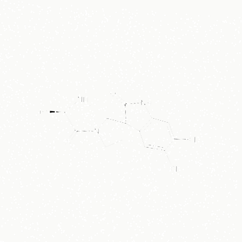 CC(C)[C@@H](N)C(=O)N1CC[C@]2(C1)C(=O)Nc1cc(Cl)c(Cl)cc12